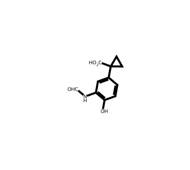 O=CNc1cc(C2(C(=O)O)CC2)ccc1O